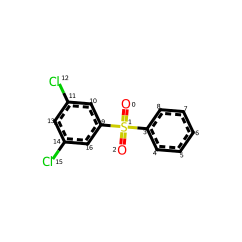 O=S(=O)(c1ccccc1)c1cc(Cl)[c]c(Cl)c1